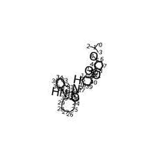 CC(C)COc1cccc(S(=O)(=O)c2ccc(CNC(=O)C3(C4CCCCCCCC4)Cc4ccccc4N3)cc2)c1